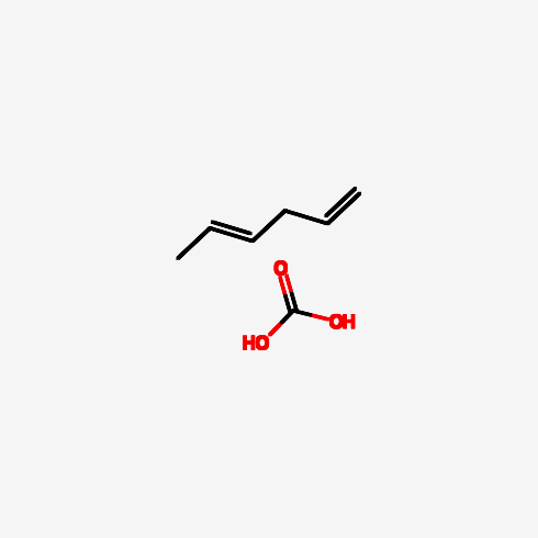 C=CCC=CC.O=C(O)O